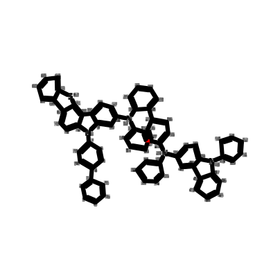 c1ccc(-c2ccc(-n3c4cc(N(c5ccccc5)c5ccccc5-c5ccc(N(c6ccccc6)c6ccc7c(c6)c6ccccc6n7-c6ccccc6)cc5)ccc4c4c5sc6ccccc6c5ccc43)cc2)cc1